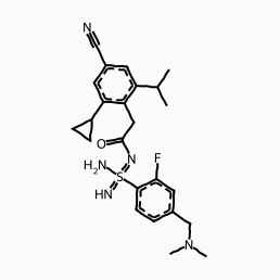 CC(C)c1cc(C#N)cc(C2CC2)c1CC(=O)N=S(=N)(N)c1ccc(CN(C)C)cc1F